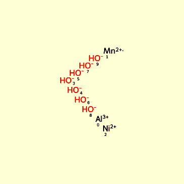 [Al+3].[Mn+2].[Ni+2].[OH-].[OH-].[OH-].[OH-].[OH-].[OH-].[OH-]